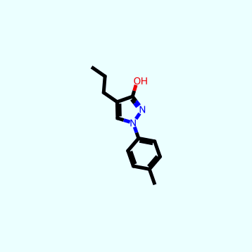 CCCc1cn(-c2ccc(C)cc2)nc1O